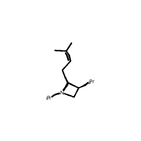 CC(C)=CCC1C(C(C)C)CN1C(C)C